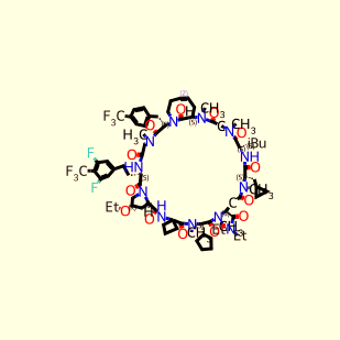 CCO[C@@H]1C[C@H]2C(=O)NC3(CCC3)C(=O)N(C)[C@@H](C3CCCC3)C(=O)N(C)[C@H](C(=O)N(CC)CC)CC(=O)N(C)[C@@H](CC3CC3)C(=O)N[C@@H]([C@@H](C)CC)C(=O)N(C)CC(=O)N(C)[C@H]3C/C=C\CCN(C3=O)[C@@H](Cc3ccc(C(F)(F)F)cc3)C(=O)N(C)CC(=O)N[C@@H](CCc3cc(F)c(C(F)(F)F)c(F)c3)C(=O)N2C1